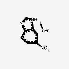 CCCI.O=[N+]([O-])c1ccc2nc[nH]c2c1